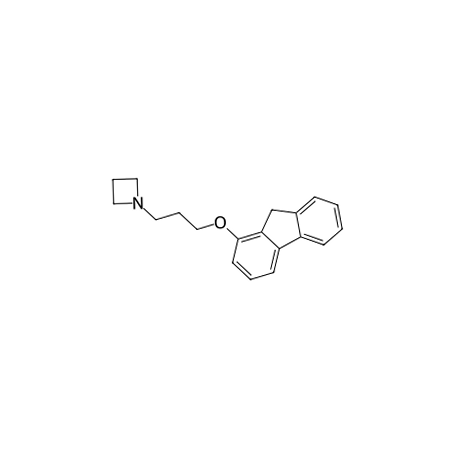 c1ccc2c(c1)Cc1c(OCCCN3CCC3)cccc1-2